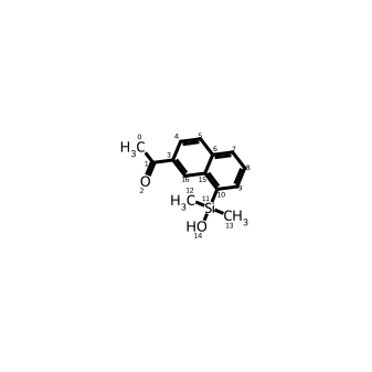 CC(=O)c1ccc2cccc([Si](C)(C)O)c2c1